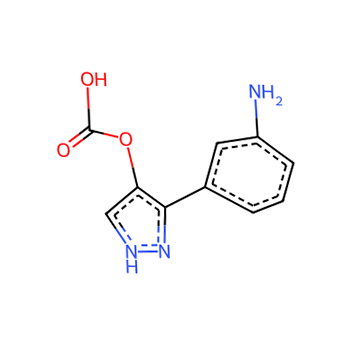 Nc1cccc(-c2n[nH]cc2OC(=O)O)c1